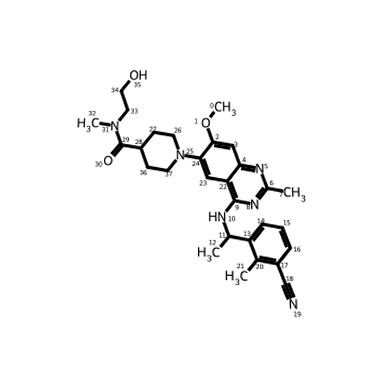 COc1cc2nc(C)nc(NC(C)c3cccc(C#N)c3C)c2cc1N1CCC(C(=O)N(C)CCO)CC1